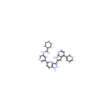 O=C(Nc1cncc(-c2ccc3[nH]nc(-c4cc5c(-c6cccnc6)ccnc5[nH]4)c3n2)c1)C1CCCCC1